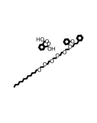 CCCCCCCCCCCCOCCOCCOCCOCCOCCOCC(Cc1ccccc1)Oc1ccccc1.O=C(O)c1ccccc1C(=O)O